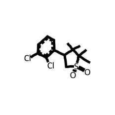 CC1(C)C(c2cccc(Cl)c2Cl)CS(=O)(=O)C1(C)C